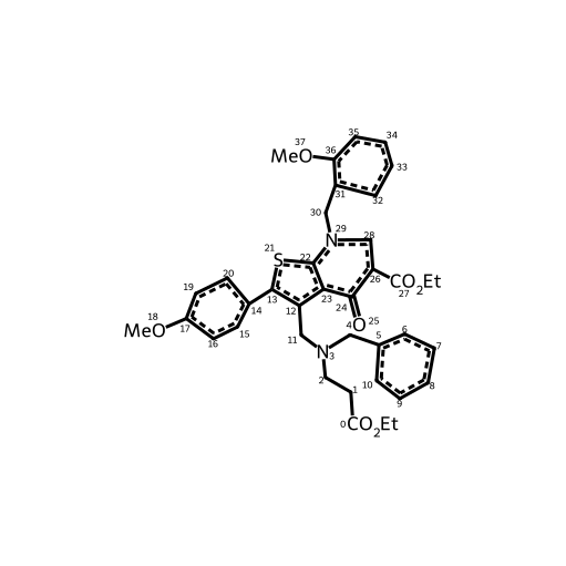 CCOC(=O)CCN(Cc1ccccc1)Cc1c(-c2ccc(OC)cc2)sc2c1c(=O)c(C(=O)OCC)cn2Cc1ccccc1OC